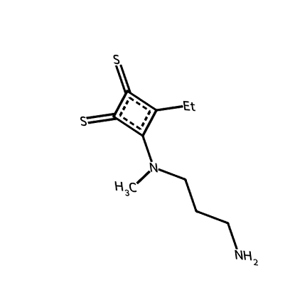 CCc1c(N(C)CCCN)c(=S)c1=S